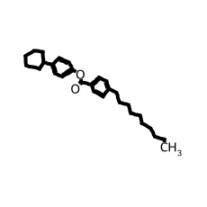 CCCCCCCCCCc1ccc(C(=O)Oc2ccc(C3CCCCC3)cc2)cc1